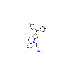 C=c1ccc(=C(c2ccc(C)cc2)c2ccc3c(c2)CCc2ccccc2N3CCCN(C)C)cc1